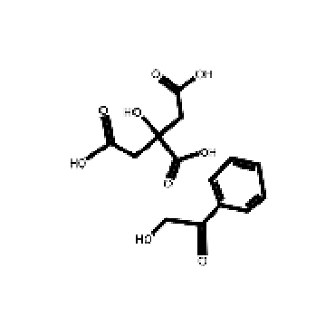 O=C(CO)c1ccccc1.O=C(O)CC(O)(CC(=O)O)C(=O)O